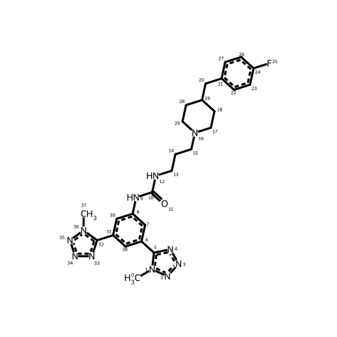 Cn1nnnc1-c1cc(NC(=O)NCCCN2CCC(Cc3ccc(F)cc3)CC2)cc(-c2nnnn2C)c1